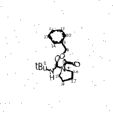 CC(C)(C)NC(=O)[N+]1(C(=O)OCc2ccccc2)CCCC1